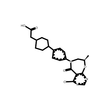 C[C@@H]1CN(c2ccc(C3CCC(CC(=O)O)CC3)cc2)C(=O)c2c(Cl)ncnc2O1